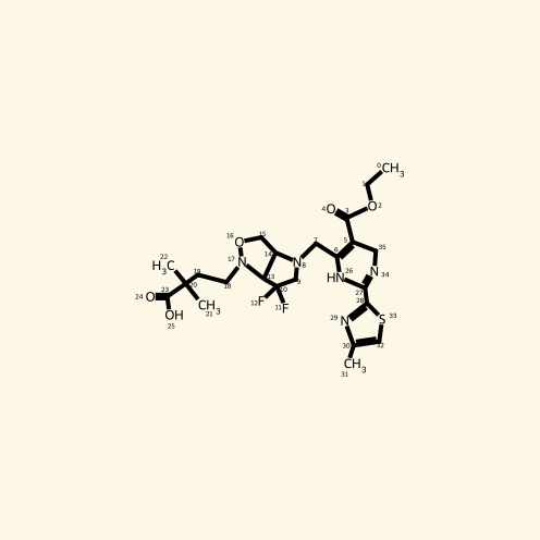 CCOC(=O)C1=C(CN2CC(F)(F)C3C2CON3CCC(C)(C)C(=O)O)NC(c2nc(C)cs2)=NC1